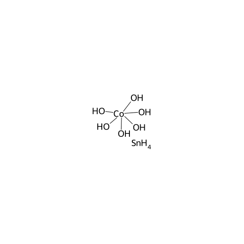 [OH][Co]([OH])([OH])([OH])([OH])[OH].[SnH4]